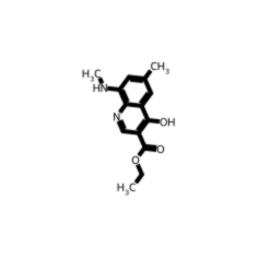 CCOC(=O)c1cnc2c(NC)cc(C)cc2c1O